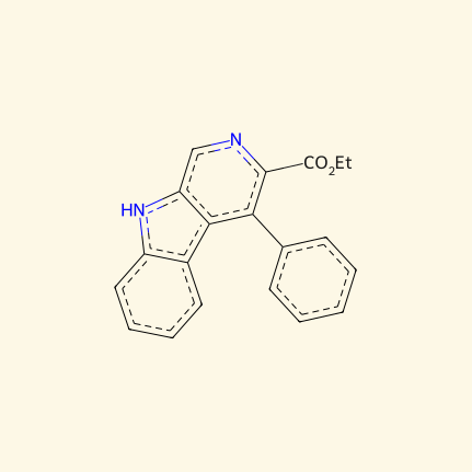 CCOC(=O)c1ncc2[nH]c3ccccc3c2c1-c1ccccc1